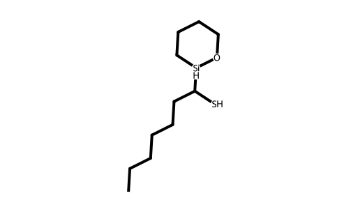 CCCCCCC(S)[SiH]1CCCCO1